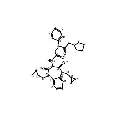 O=C(CN(C(=O)CC1CCCC1)c1ccccc1)NC1C(=O)N(CC2CC2)c2ccccc2N(CC2CC2)C1=O